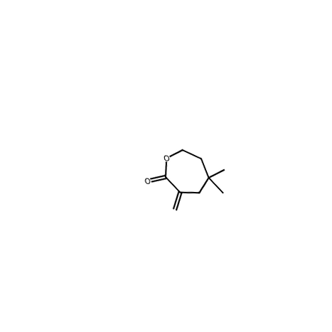 C=C1CC(C)(C)CCOC1=O